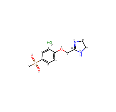 CS(=O)(=O)c1ccc(OCC2=NCCN2)cc1.Cl